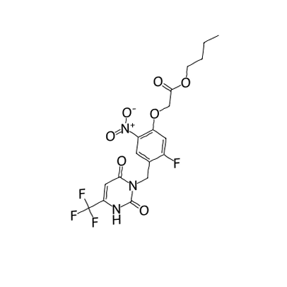 CCCCOC(=O)COc1cc(F)c(Cn2c(=O)cc(C(F)(F)F)[nH]c2=O)cc1[N+](=O)[O-]